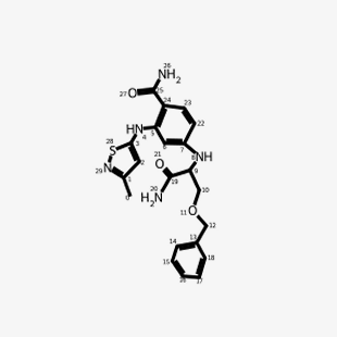 Cc1cc(Nc2cc(NC(COCc3ccccc3)C(N)=O)ccc2C(N)=O)sn1